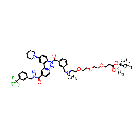 CN(CCOCCOCCOCCC(=O)OC(C)(C)C)Cc1cccc(C(=O)Nc2ccc(N3CCCCC3)cc2-c2cc(C(=O)NCc3cccc(C(F)(F)F)c3)ccn2)c1